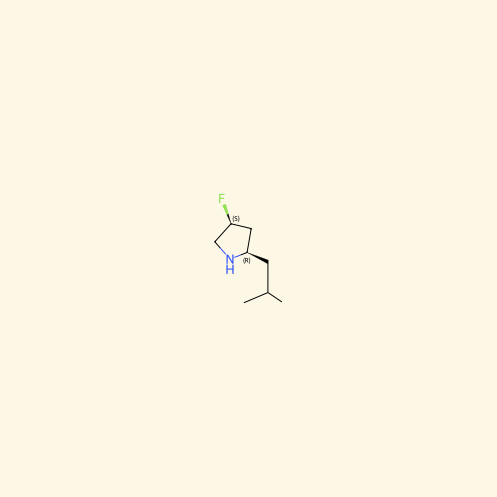 CC(C)C[C@@H]1C[C@H](F)CN1